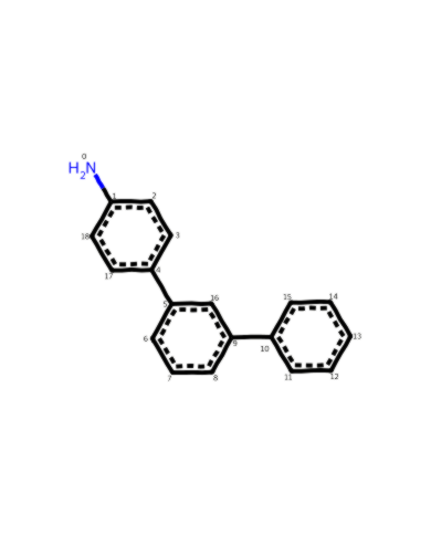 Nc1ccc(-c2[c]ccc(-c3ccccc3)c2)cc1